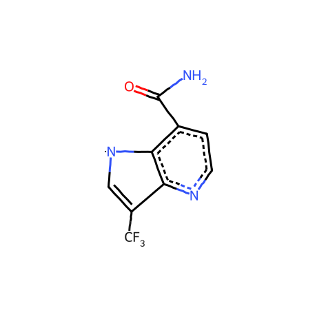 NC(=O)c1ccnc2c1[N]C=C2C(F)(F)F